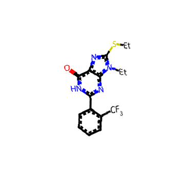 CCSc1nc2c(=O)[nH]c(-c3ccccc3C(F)(F)F)nc2n1CC